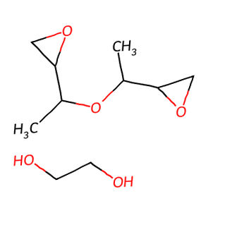 CC(OC(C)C1CO1)C1CO1.OCCO